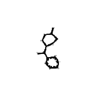 CC1CCC(C(C)c2ccccc2)CC1